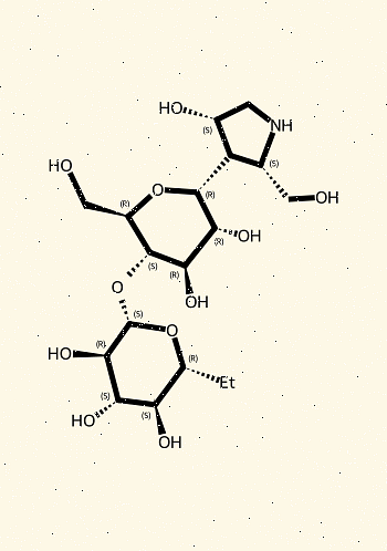 CC[C@H]1O[C@@H](O[C@H]2[C@H](O)[C@@H](O)[C@@H](C3[C@H](O)CN[C@@H]3CO)O[C@@H]2CO)[C@H](O)[C@@H](O)[C@@H]1O